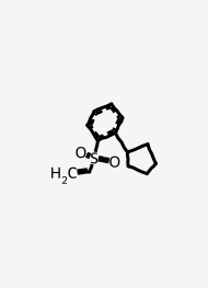 C=CS(=O)(=O)c1ccccc1C1CCCC1